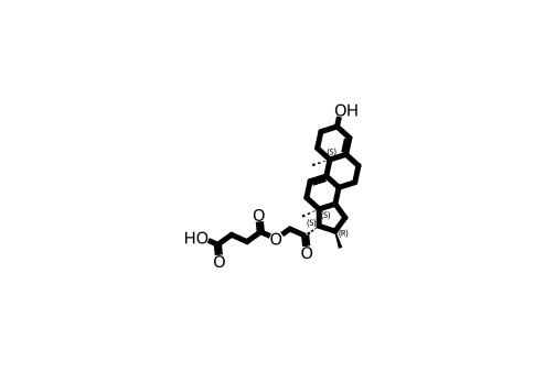 C[C@@H]1CC2C3CCC4=CC(O)CC[C@]4(C)C3=CC[C@]2(C)[C@H]1C(=O)COC(=O)CCC(=O)O